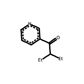 CCC(CC)C(=O)c1cccnc1